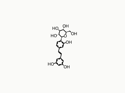 OC[C@H]1O[C@@H](c2ccc(/C=C/c3cc(O)cc(O)c3)cc2O)[C@H](O)[C@@H](O)[C@@H]1O